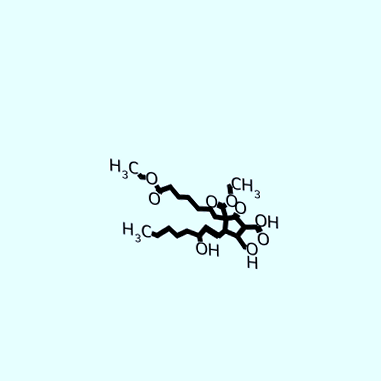 CCCCCC(O)C=CC1C(CO)C(C(=O)O)C(=O)C1(CCCCCCC(=O)OCC)C(=O)OCC